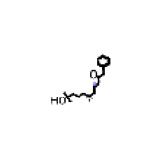 C[C@@H](C/C=C/C(=O)Cc1ccccc1)CCCC(C)(C)O